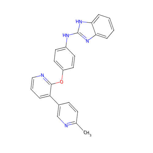 Cc1ccc(-c2cccnc2Oc2ccc(Nc3nc4ccccc4[nH]3)cc2)cn1